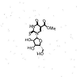 COC(=O)c1cn([C@@H]2O[C@H](CO)[C@@H](O)[C@H]2O)c(=S)[nH]c1=O